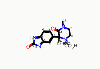 CCCCCC1(c2ccc3c(c2)=NC(=O)N=3)C(=O)N(C)CCN1C(=O)O